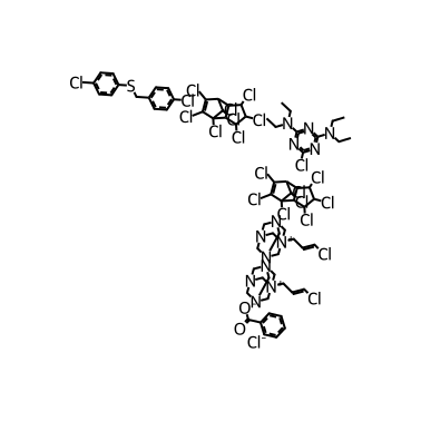 CCN(CC)c1nc(Cl)nc(N(CC)CC)n1.ClC1=C(Cl)C2(Cl)C3C(Cl)C(Cl)C(Cl)C3C1C2(Cl)Cl.ClC1=C(Cl)C2(Cl)C3C(Cl)C(Cl)C(Cl)C3C1C2(Cl)Cl.ClC=CC[N+]12CN3CN(CN(C3)C1)C2.ClC=CC[N+]12CN3CN(CN(C3)C1)C2.Clc1ccc(CSc2ccc(Cl)cc2)cc1.O=C([O-])c1ccccc1.[Cl-]